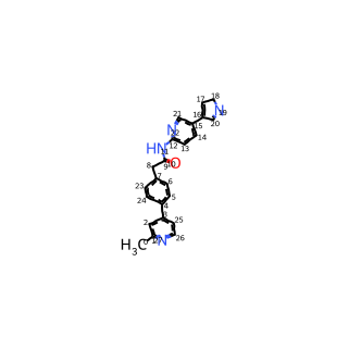 Cc1cc(-c2ccc(CC(=O)Nc3ccc(C4=CCN=C4)cn3)cc2)ccn1